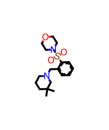 CC1(C)CCCN(Cc2ccccc2S(=O)(=O)N2CCOCC2)C1